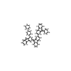 c1ccc(-c2ccc(-c3cc(-n4c5ccccc5c5ccc(-c6ccc7c8ccccc8n(-c8ccccc8)c7c6)cc54)cc4c3sc3ccccc34)cc2)cc1